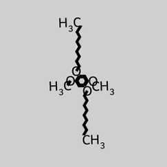 CCCCCCCCCCOc1cc(OC)c(OCCCCCCCCCC)cc1OC